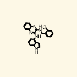 Clc1ccccc1CNc1nc2ccccc2nc1Nc1cccc2[nH]ccc12